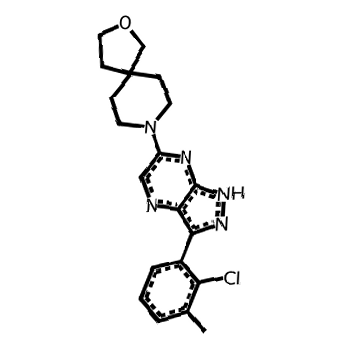 Cc1cccc(-c2n[nH]c3nc(N4CCC5(CCOC5)CC4)cnc23)c1Cl